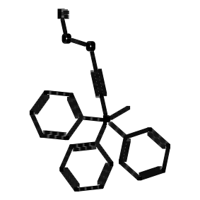 CCOOC#CP(C)(c1ccccc1)(c1ccccc1)c1ccccc1